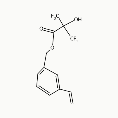 C=Cc1cccc(COC(=O)C(O)(C(F)(F)F)C(F)(F)F)c1